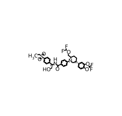 CCS(=O)(=O)c1ccc([C@H](CO)NC(=O)c2ccc(N3C[C@@H](c4ccc5c(c4)OC(F)(F)O5)CCC3COC(F)F)cc2)cc1